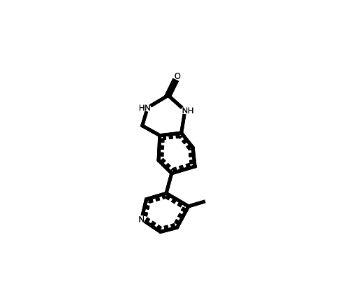 Cc1ccncc1-c1ccc2c(c1)CNC(=O)N2